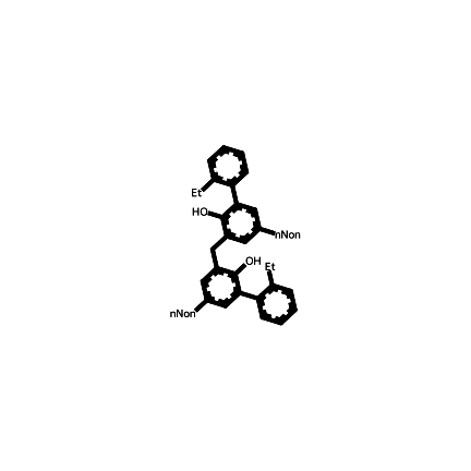 CCCCCCCCCc1cc(Cc2cc(CCCCCCCCC)cc(-c3ccccc3CC)c2O)c(O)c(-c2ccccc2CC)c1